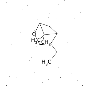 CCC1COC2CC1C2(C)C